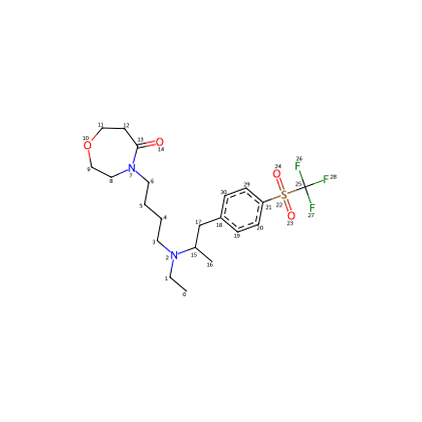 CCN(CCCCN1CCOCCC1=O)C(C)Cc1ccc(S(=O)(=O)C(F)(F)F)cc1